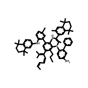 Bc1ccc(N2C(C)=C(c3cc4c(cc3C)C(C)(C)CCC4(C)C)Bc3c(-c4cc(C)ccc4Nc4ccc5c(c4)C(C)(C)CCC5(C)C)cc(C(/C=C\C=C/C)=C(C)C)c(CCC)c32)c(-c2ccccc2)c1